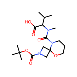 CC(C)C(C(=O)O)N(C)C(=O)N1CCCOC12CN(C(=O)OC(C)(C)C)C2